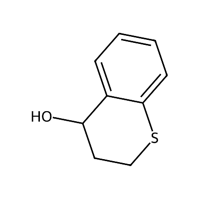 OC1CCSc2ccccc21